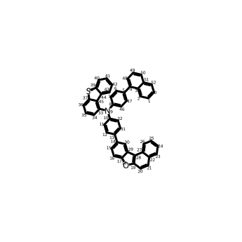 c1ccc2c(-c3ccc(N(c4ccc(-c5ccc6oc7ccc8ccccc8c7c6c5)cc4)c4cccc5sc6ccccc6c45)cc3)cccc2c1